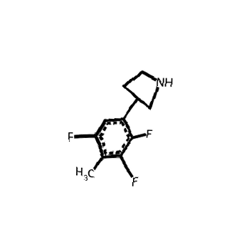 Cc1c(F)cc(C2CCNC2)c(F)c1F